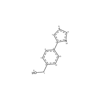 OCc1ccc(-c2cscn2)cc1